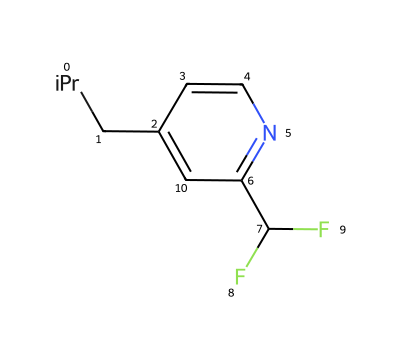 CC(C)Cc1ccnc(C(F)F)c1